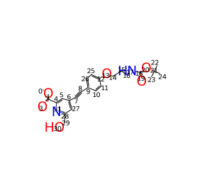 COC(=O)c1cc(C#Cc2ccc(OCCCNC(=O)OC(C)(C)C)cc2)cc(CO)n1